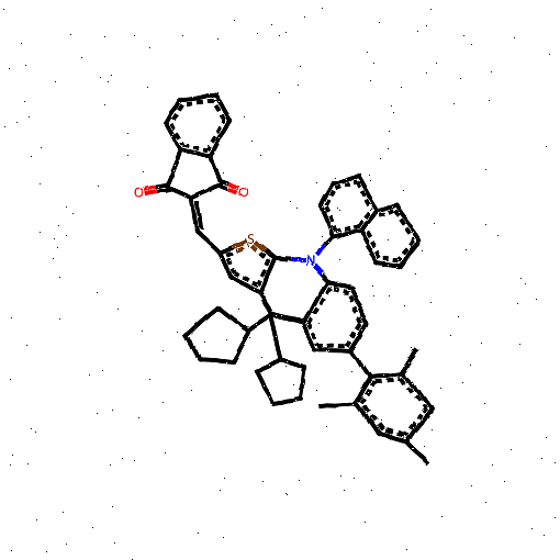 Cc1cc(C)c(-c2ccc3c(c2)C(C2CCCC2)(C2CCCC2)c2cc(C=C4C(=O)c5ccccc5C4=O)sc2N3c2cccc3ccccc23)c(C)c1